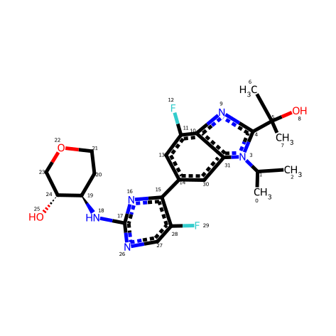 CC(C)n1c(C(C)(C)O)nc2c(F)cc(-c3nc(N[C@@H]4CCOC[C@H]4O)ncc3F)cc21